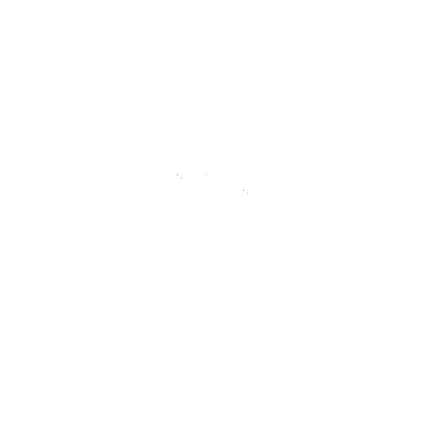 COC(=O)C1CCN(C(=O)c2cccc(CSc3c(Cl)cccc3Cl)n2)CC1